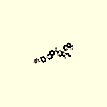 C=CCn1c(=O)c2cnc(Nc3ccc4c(c3)CCN([C@H]3CC[C@@H](CO[Si](C)(C)C(C)(C)C)CC3)C4)nc2n1-c1ccc2c(n1)[C@@](O)(I)CC2